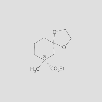 CCOC(=O)[C@]1(C)CCCC2(C1)OCCO2